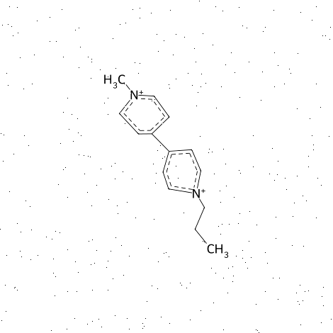 CCC[n+]1ccc(-c2cc[n+](C)cc2)cc1